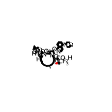 C[C@H]1CC/C=C\[C@@H]2C[C@@]2(C(=O)NS(=O)(=O)C2(C)CC2)NC(=O)[C@@H]2C[C@@H](Oc3nccc4c(N5CCOCC5)cccc34)CN2C(=O)[C@@H](N(C(=O)O)C(C)(C)C(F)(F)F)[C@H](C)C1